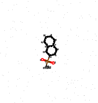 CCCCS(=O)(=O)c1ccc2ccccc2c1